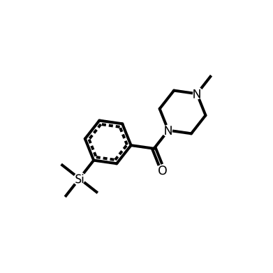 CN1CCN(C(=O)c2cccc([Si](C)(C)C)c2)CC1